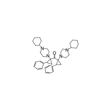 O=C(C1(N2CCN(C3CCCCC3)CC2)CC1c1ccccc1)C1(N2CCN(C3CCCCC3)CC2)CC1c1ccccc1